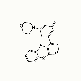 C=C1C=C(c2cccc3c2Sc2ccccc2S3)CC(N2CCOCC2)=C1